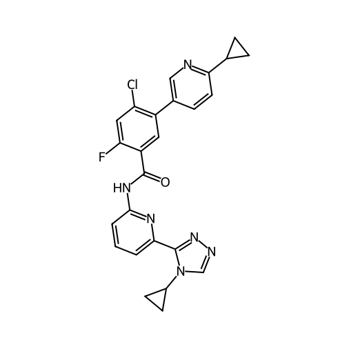 O=C(Nc1cccc(-c2nncn2C2CC2)n1)c1cc(-c2ccc(C3CC3)nc2)c(Cl)cc1F